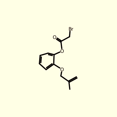 C=C(C)COc1ccccc1OC(=O)CBr